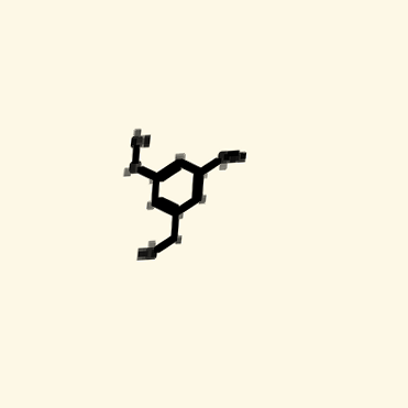 COc1cc(CO)cc(OO)c1